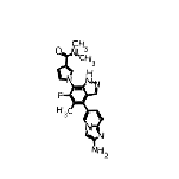 Cc1c(F)c(-n2ccc(C(=O)N(C)C)c2)c2[nH]ncc2c1-c1ccc2nc(N)cn2c1